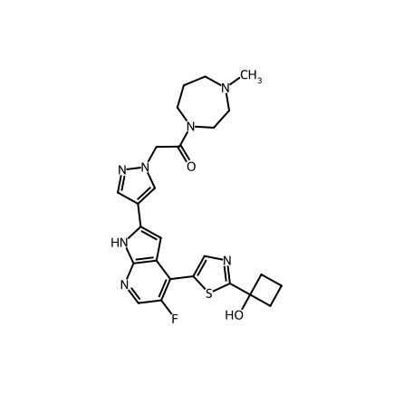 CN1CCCN(C(=O)Cn2cc(-c3cc4c(-c5cnc(C6(O)CCC6)s5)c(F)cnc4[nH]3)cn2)CC1